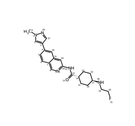 Cn1cc(-c2ccc3cnc(NC(=O)[C@H]4CC[C@H](NCCF)CC4)cc3c2)cn1